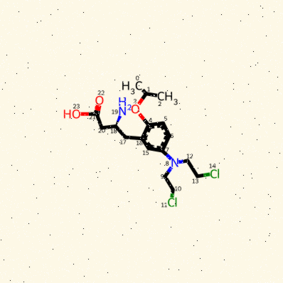 CC(C)Oc1ccc(N(CCCl)CCCl)cc1C[C@H](N)CC(=O)O